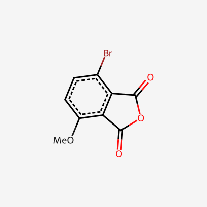 COc1ccc(Br)c2c1C(=O)OC2=O